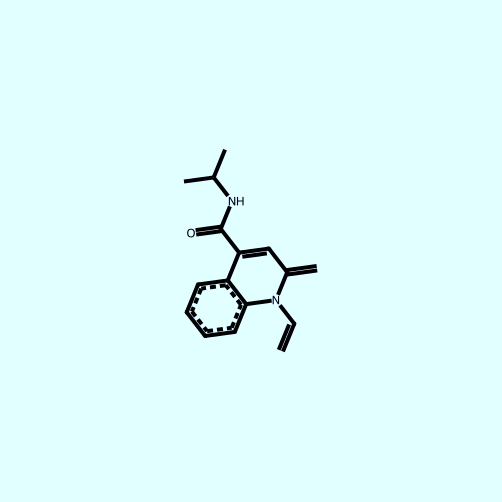 C=CN1C(=C)C=C(C(=O)NC(C)C)c2ccccc21